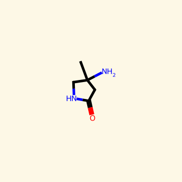 CC1(N)CNC(=O)C1